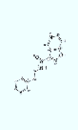 O=C(NCCc1ccccc1)c1noc2ccncc12